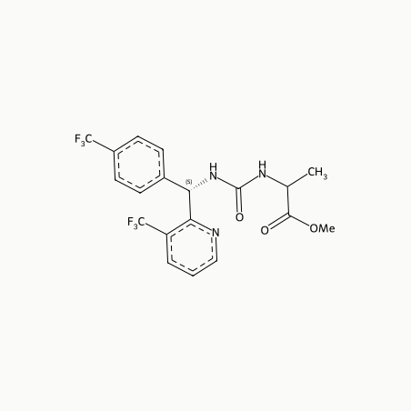 COC(=O)C(C)NC(=O)N[C@@H](c1ccc(C(F)(F)F)cc1)c1ncccc1C(F)(F)F